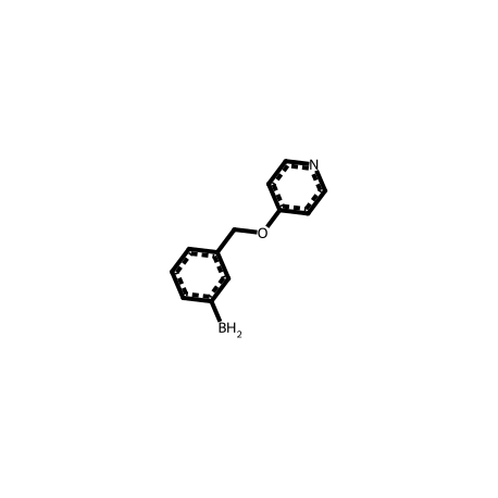 Bc1cccc(COc2ccncc2)c1